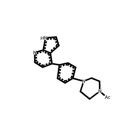 CC(=O)N1CCN(c2ccc(-c3ccnc4[nH]ccc34)cc2)CC1